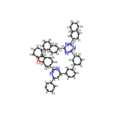 c1ccc(-c2cc(-c3cccc(-c4cccc(-c5nc(-c6ccc7ccccc7c6)nc(-c6ccc7ccccc7c6)n5)c4)c3)nc(-c3ccc4c(c3)oc3ccccc34)n2)cc1